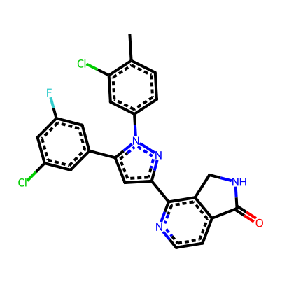 Cc1ccc(-n2nc(-c3nccc4c3CNC4=O)cc2-c2cc(F)cc(Cl)c2)cc1Cl